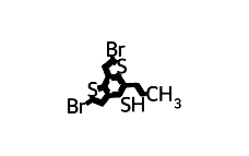 C/C=C/c1c(S)c2cc(Br)sc2c2cc(Br)sc12